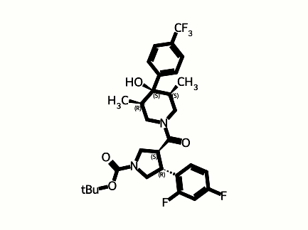 C[C@@H]1CN(C(=O)[C@@H]2CN(C(=O)OC(C)(C)C)C[C@H]2c2ccc(F)cc2F)C[C@H](C)[C@@]1(O)c1ccc(C(F)(F)F)cc1